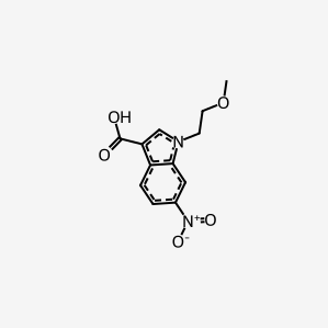 COCCn1cc(C(=O)O)c2ccc([N+](=O)[O-])cc21